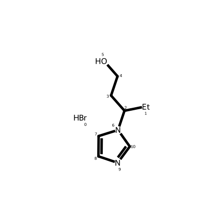 Br.CCC(CCO)n1ccnc1